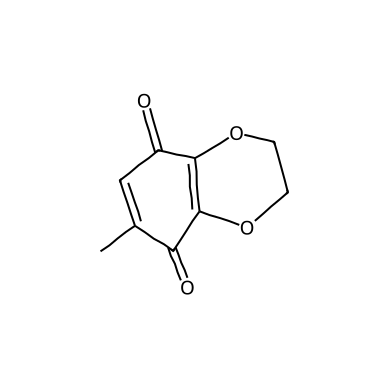 CC1=CC(=O)C2=C(OCCO2)C1=O